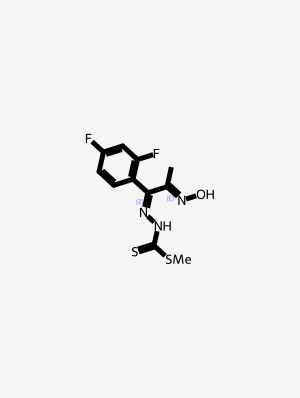 CSC(=S)N/N=C(\C(C)=N\O)c1ccc(F)cc1F